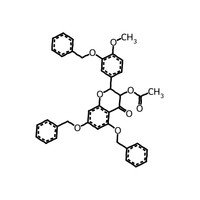 COc1ccc(C2Oc3cc(OCc4ccccc4)cc(OCc4ccccc4)c3C(=O)C2OC(C)=O)cc1OCc1ccccc1